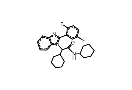 O=C(NC1CCCCC1)C(C1CCCCC1)n1c(-c2cc(F)ccc2F)nc2ccccc21